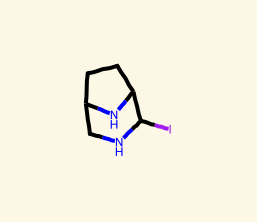 IC1NCC2CCC1N2